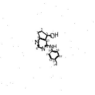 OC1CCc2ncnc(Nc3ccc(I)cc3)c21